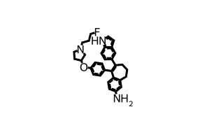 Nc1ccc2c(c1)CCCC(c1ccc3[nH]ccc3c1)=C2c1ccc(OC2CCN(CCCF)C2)cc1